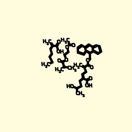 C=C(C)C(=O)OCCOC(C)=O.C=C(CC=C(CCC(C)O)C(=O)O)C(=O)OCc1c2ccccc2cc2ccccc12.C=C(CCCCC)C(=O)O